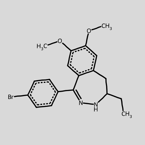 CCC1Cc2cc(OC)c(OC)cc2C(c2ccc(Br)cc2)=NN1